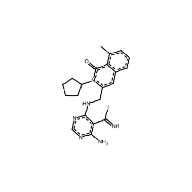 Cc1cccc2cc(CNc3ncnc(N)c3C(=N)I)n(C3CCCC3)c(=O)c12